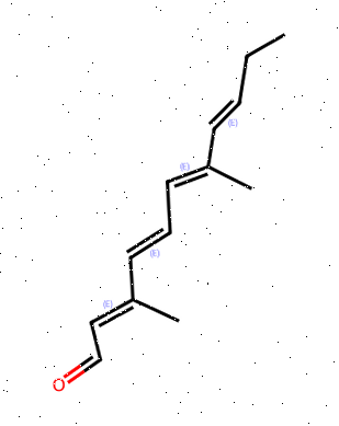 CC/C=C/C(C)=C/C=C/C(C)=C/C=O